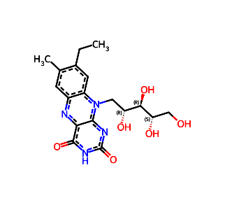 CCc1cc2c(cc1C)nc1c(=O)[nH]c(=O)nc-1n2C[C@@H](O)[C@@H](O)[C@@H](O)CO